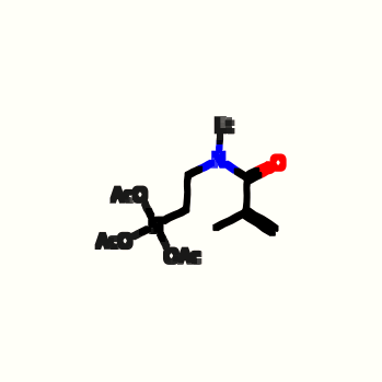 C=C(C)C(=O)N(CC)CC[Si](OC(C)=O)(OC(C)=O)OC(C)=O